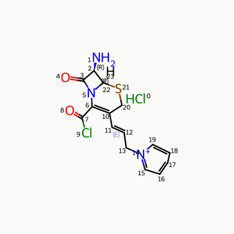 Cl.N[C@@H]1C(=O)N2C(C(=O)Cl)=C(/C=C/C[n+]3ccccc3)CS[C@H]12